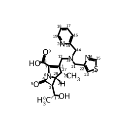 C[C@@H](O)[C@H]1C(=O)N2C(C(=O)O)=C(CN(Cc3ccccn3)Cc3cscn3)[C@H](C)[C@H]12